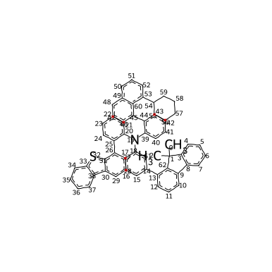 CC1(C)c2ccccc2-c2cccc(-c3cccc(N(c4ccccc4-c4cccc5c4sc4ccccc45)c4ccccc4-c4cccc5cccc(C6CCCCC6)c45)c3)c21